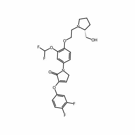 O=C1C(Oc2ccc(F)c(F)c2)=CCN1c1ccc(OCCN2CCC[C@@H]2CO)c(OC(F)F)c1